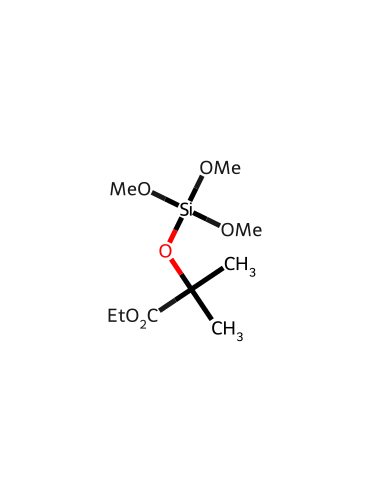 CCOC(=O)C(C)(C)O[Si](OC)(OC)OC